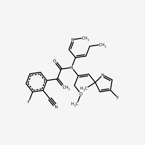 C=C(C(=O)N(C(/C=N\C)=C/CC)/C(=C/C1(C)C=C(F)C=N1)COC)c1cccc(F)c1C#N